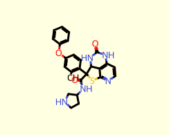 Cc1cc(Oc2ccccc2)ccc1C1(C(=O)NC2CCNC2)Sc2nccc3c2C1NC(=O)N3